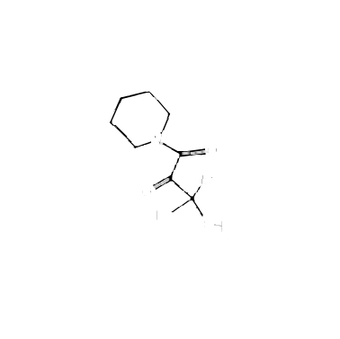 CCC(C)(CC)C(=O)C(=O)N1CCCCC1